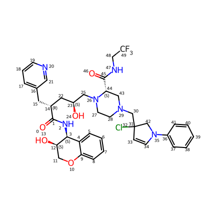 O=C(N[C@H]1c2ccccc2OC[C@H]1O)[C@H](Cc1cccnc1)C[C@H](O)CN1CCN(CC2(Cl)C=CN(c3ccccc3)C2)C[C@H]1C(=O)NCC(F)(F)F